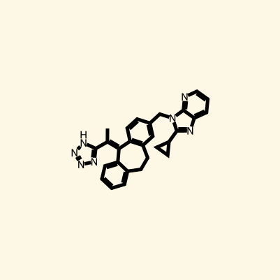 CC(=C1c2ccccc2CCc2cc(Cn3c(C4CC4)nc4cccnc43)ccc21)c1nnn[nH]1